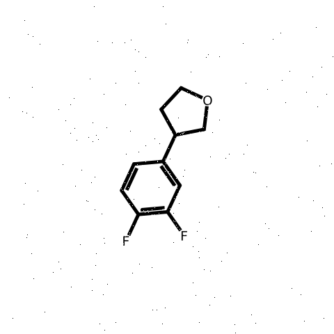 Fc1ccc(C2CCOC2)cc1F